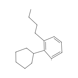 CCCCc1ccc[c]c1C1CCCCC1